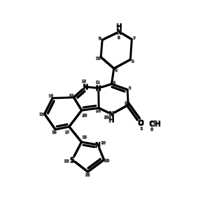 Cl.O=c1cc(C2CCNCC2)n2nc3cccc(-c4nccs4)c3c2[nH]1